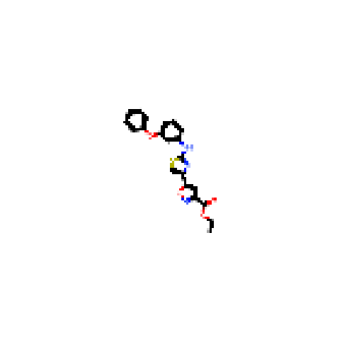 CCOC(=O)c1cc(-c2csc(Nc3cccc(Oc4ccccc4)c3)n2)on1